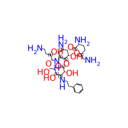 NCC[C@H](O)C(=O)N[C@@H]1C[C@H](N)C(O[C@H]2O[C@H](CN)CCC2N)C(O)[C@H]1O[C@H]1OC(CO)[C@@H](O)[C@H](NCCc2ccccc2)C1O